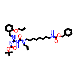 C=CCOc1ccccc1CNC(=NC(=O)OC(C)(C)C)NC(=O)N(CC=C)CCCCCCCCNC(=O)OCc1ccccc1